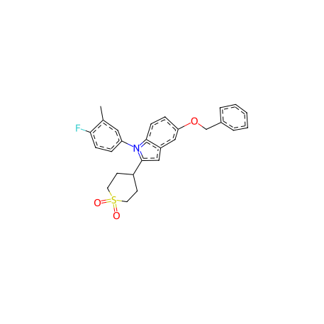 Cc1cc(-n2c(C3CCS(=O)(=O)CC3)cc3cc(OCc4ccccc4)ccc32)ccc1F